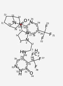 C[C@@H](CN1CC[C@@H](C(=O)N2C3CCC2CN(c2ncc(C(F)(F)F)cn2)C3)C1)Nc1cn[nH]c(=O)c1C(F)(F)F